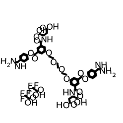 N=C(N)c1ccc(OC(=O)c2cc(OCCOCCOCCOc3cc(C(=O)NC(CC(=O)O)C(=O)O)cc(C(=O)Oc4ccc(C(=N)N)cc4)c3)cc(C(=O)NC(CC(=O)O)C(=O)O)c2)cc1.O=C(O)C(F)(F)F.O=C(O)C(F)(F)F